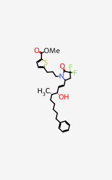 COC(=O)c1ccc(CCCN2C(=O)C(F)(F)CC2C=C[C@H](O)[C@@H](C)CCCCCc2ccccc2)s1